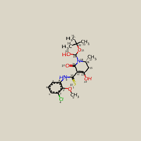 COc1c(Cl)cccc1NC(=S)C1=C(O)C[C@@H](C)N(C(O)OC(C)(C)C)C1=O